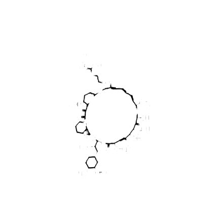 CNC(O)OCCO[C@H]1C[C@@H]2CC[C@@H](C)[C@@](O)(O2)C(=O)C(=O)N2CCCC[C@H]2C(=O)O[C@H]([C@H](C)C[C@@H]2CC[C@@H](O)[C@H](OC)C2)CC(=O)[C@H](C)/C=C(\C)[C@@H](O)[C@@H](OC)C(=O)[C@H](C)C[C@H](C)/C=C/C=C/C=C/1C